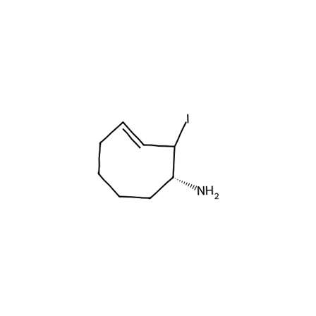 N[C@@H]1CCCC/C=C/C1I